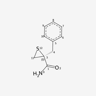 NC(=O)[C@@]1(Cc2ccccc2)CS1